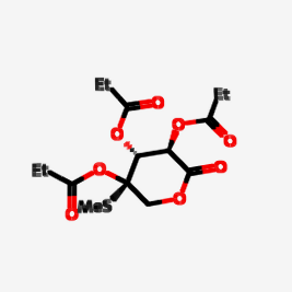 CCC(=O)O[C@@H]1[C@@H](OC(=O)CC)C(=O)OC[C@@]1(OC(=O)CC)SC